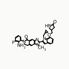 Cn1c(-c2cc3cccc(OCC4CNC(=O)C4)c3n2CC2CC2)nc2cc3c(cc21)CCN(c1cccc(F)c1N)C3=O